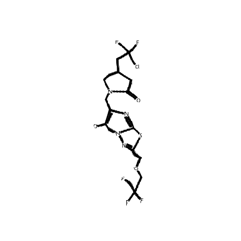 O=C1CC(CC(F)(F)Cl)CN1Cc1nc2sc(COCC(F)(F)F)nn2c1Cl